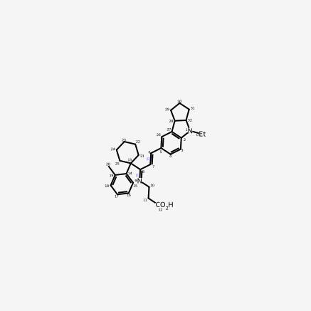 CCN1c2ccc(/C=C/C(=N\CCC(=O)O)C3(c4ccccc4C)CCCCC3)cc2C2CCCC21